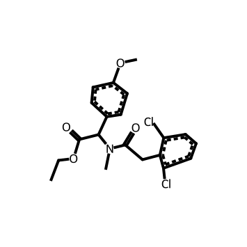 CCOC(=O)C(c1ccc(OC)cc1)N(C)C(=O)Cc1c(Cl)cccc1Cl